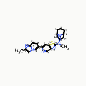 Cc1cn2cc(-c3cc4sc(N(C)C5CC6CCCC(C5)N6)nc4cn3)ccc2n1